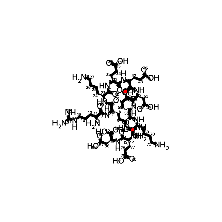 N=C(N)NCCC[C@H](NC(=O)[C@@H](N)CCCNC(=N)N)C(=O)N[C@@H](CCCCN)C(=O)N[C@@H](CCC(=O)O)C(=O)N[C@@H](CCC(=O)O)C(=O)N[C@@H](CC(=O)O)C(=O)N[C@@H](CCC(=O)O)C(=O)N[C@@H](CCCCN)C(=O)N[C@@H](CCC(=O)O)C(=O)N[C@@H](CC(=O)O)C(=O)O